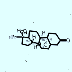 CCCC1(C)CC[C@H]2[C@@H]3CCC4CC(=O)CC[C@]4(C)[C@@H]3CC[C@@]21C